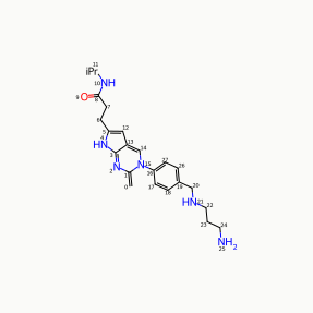 C=C1N=c2[nH]c(CCC(=O)NC(C)C)cc2=CN1c1ccc(CNCCCN)cc1